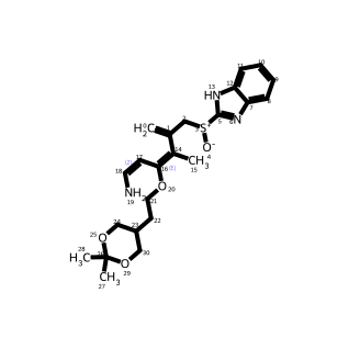 C=C(C[S+]([O-])c1nc2ccccc2[nH]1)/C(C)=C(\C=C/N)OCCC1COC(C)(C)OC1